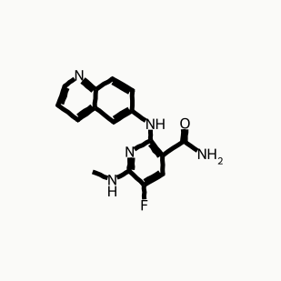 CNc1nc(Nc2ccc3ncccc3c2)c(C(N)=O)cc1F